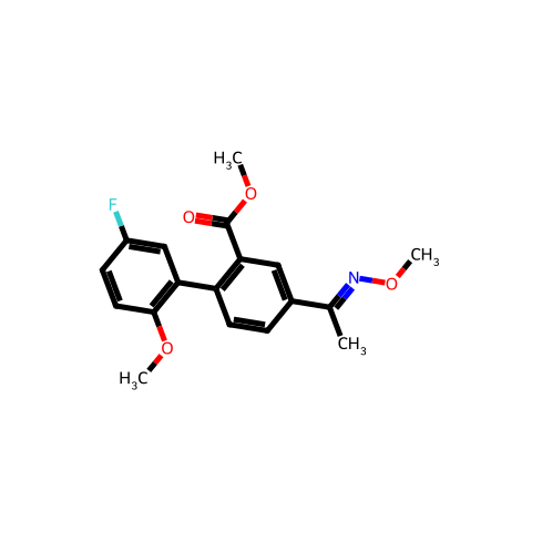 CON=C(C)c1ccc(-c2cc(F)ccc2OC)c(C(=O)OC)c1